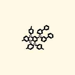 Cc1ccc(N2c3ccc(C)cc3B3c4cc(C)ccc4N(c4ccc(C)cc4)c4cc(N(c5cccc(-c6ccccc6)c5)c5cccc(-c6ccccc6)c5)cc2c43)cc1